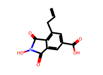 C=CCc1cc(C(=O)O)cc2c1C(=O)N(O)C2=O